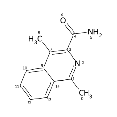 Cc1nc(C(N)=O)c(C)c2ccccc12